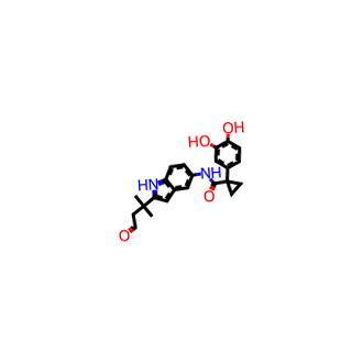 CC(C)(CC=O)c1cc2cc(NC(=O)C3(c4ccc(O)c(O)c4)CC3)ccc2[nH]1